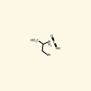 CC(C)CC(N)C(=O)O.N=C=O